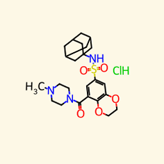 CN1CCN(C(=O)c2cc(S(=O)(=O)NC34CC5CC(CC(C5)C3)C4)cc3c2OCCO3)CC1.Cl